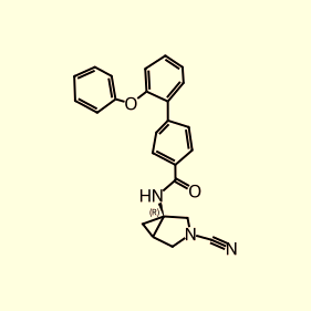 N#CN1CC2C[C@]2(NC(=O)c2ccc(-c3ccccc3Oc3ccccc3)cc2)C1